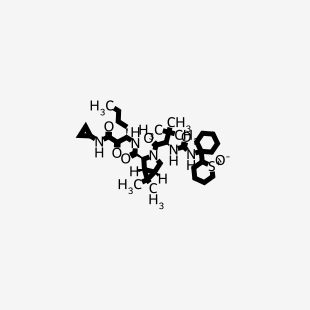 CCCC[C@H](NC(=O)[C@@H]1[C@@H]2[C@H](CN1C(=O)[C@@H](NC(=O)NC1(C3CCCC[S+]3[O-])CCCCC1)C(C)(C)C)C2(C)C)C(=O)C(=O)NC1CC1